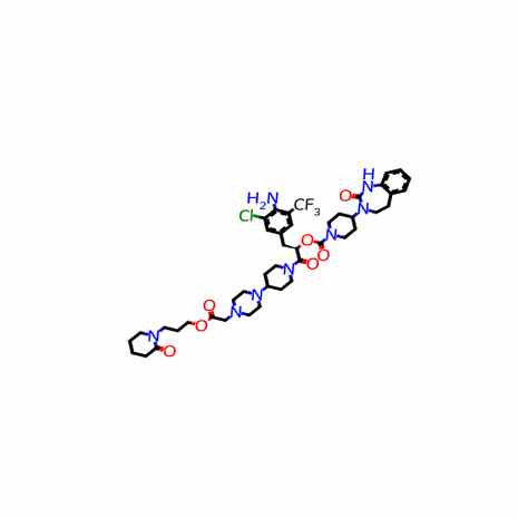 Nc1c(Cl)cc(C[C@@H](OC(=O)N2CCC(N3CCc4ccccc4NC3=O)CC2)C(=O)N2CCC(N3CCN(CC(=O)OCCCN4CCCCC4=O)CC3)CC2)cc1C(F)(F)F